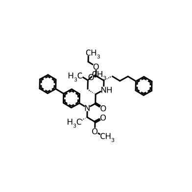 CCOC(=O)[C@H](CCCc1ccccc1)N[C@@H](CC(C)C)C(=O)N(c1ccc(-c2ccccc2)cc1)[C@@H](C)C(=O)OC